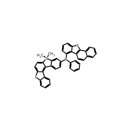 C[Si]1(C)c2cc(N(c3ccccc3)c3cccc4sc5c6ccccc6ccc5c34)ccc2-c2c1ccc1sc3ccccc3c21